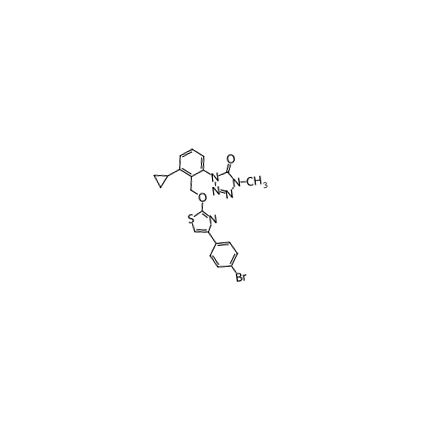 Cn1nnn(-c2cccc(C3CC3)c2COc2nc(-c3ccc(Br)cc3)cs2)c1=O